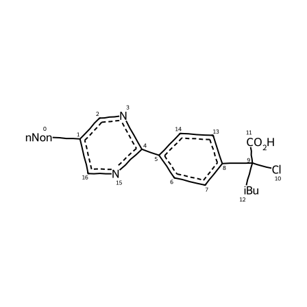 CCCCCCCCCc1cnc(-c2ccc(C(Cl)(C(=O)O)C(C)CC)cc2)nc1